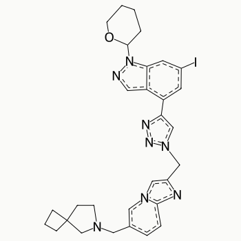 Ic1cc(-c2cn(Cc3cn4cc(CN5CCC6(CCC6)C5)ccc4n3)nn2)c2cnn(C3CCCCO3)c2c1